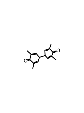 CC1=CC(C2C=C(C)C(=O)C(C)=C2)C=C(C)C1=O